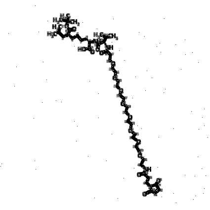 CC(C)CN(CCCC[C@H](NC(=O)[C@@H](NC(=O)CCOCCOCCOCCOCCOCCOCCOCCOCCNC(=O)CCN1C(=O)C=CC1=O)C(C)C)C(=O)O)C(=O)OC(C)(C)C